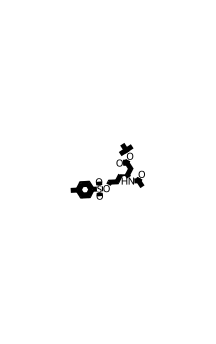 CC(=O)N[C@@H](CCCOS(=O)(=O)c1ccc(C)cc1)CC(=O)OC(C)(C)C